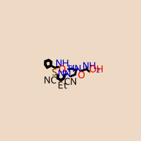 CCc1c(C#N)c(SC(C(N)=O)c2ccccc2)nc(N2CCC(NC(=O)[C@@H](N)CO)CC2)c1C#N